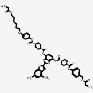 C=CC(=O)OCCCCCCOc1ccc(OC(=O)[C@H]2CC[C@H](C(=O)Oc3ccc(OC(=O)[C@H]4CC[C@H](C(=O)Oc5ccc(COC(=O)C=C)cc5)CC4)c4sc(-c5cc6c(C)cc(C)cc6o5)nc34)CC2)cc1